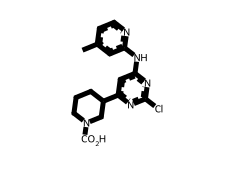 Cc1ccnc(Nc2cc(C3CCCN(C(=O)O)C3)nc(Cl)n2)c1